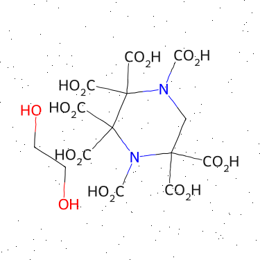 O=C(O)N1CC(C(=O)O)(C(=O)O)N(C(=O)O)C(C(=O)O)(C(=O)O)C1(C(=O)O)C(=O)O.OCCO